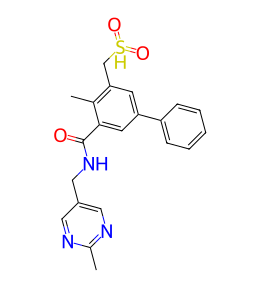 Cc1ncc(CNC(=O)c2cc(-c3ccccc3)cc(C[SH](=O)=O)c2C)cn1